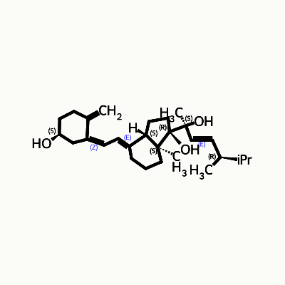 C=C1CC[C@H](O)C/C1=C/C=C1\CCC[C@@]2(C)[C@H]1CC[C@]2(O)[C@@](C)(O)/C=C/[C@H](C)C(C)C